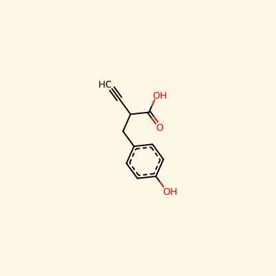 C#CC(Cc1ccc(O)cc1)C(=O)O